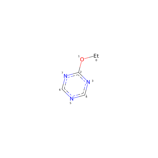 CCOc1n[c]ncn1